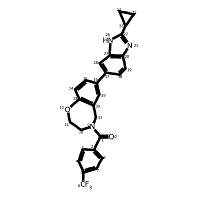 O=C(c1ccc(C(F)(F)F)cc1)N1CCOc2ccc(-c3ccc4nc(C5CC5)[nH]c4c3)cc2C1